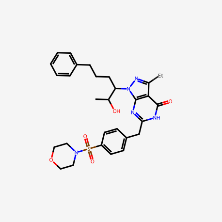 CCc1nn(C(CCCc2ccccc2)C(C)O)c2nc(Cc3ccc(S(=O)(=O)N4CCOCC4)cc3)[nH]c(=O)c12